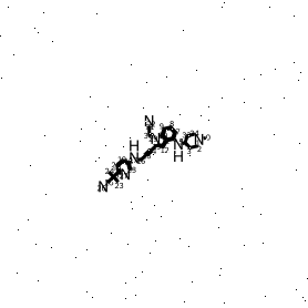 CN1CCC(Nc2cccc3c2cc(C#CCNc2ccc(C(C)(C)C#N)nc2)n3CC#N)CC1